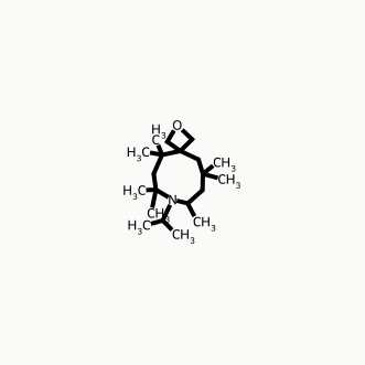 CC(C)N1C(C)CC(C)(C)CC2(COC2)C(C)(C)CC1(C)C